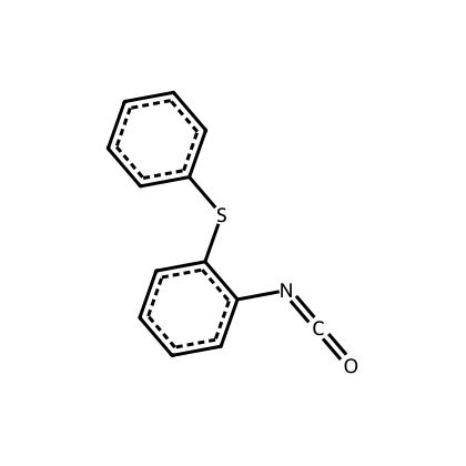 O=C=Nc1ccccc1Sc1ccccc1